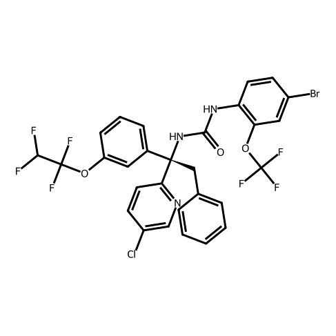 O=C(Nc1ccc(Br)cc1OC(F)(F)F)N[C@@](Cc1ccccc1)(c1cccc(OC(F)(F)C(F)F)c1)c1ccc(Cl)cn1